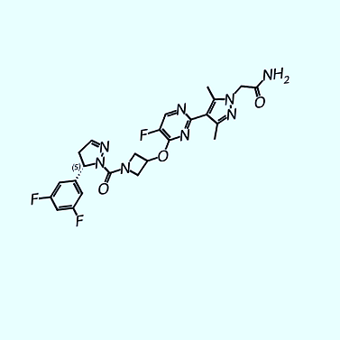 Cc1nn(CC(N)=O)c(C)c1-c1ncc(F)c(OC2CN(C(=O)N3N=CC[C@H]3c3cc(F)cc(F)c3)C2)n1